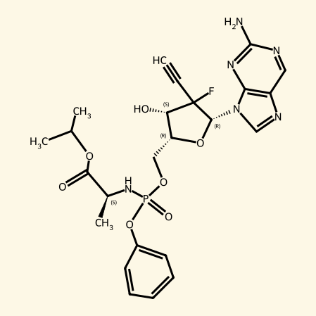 C#CC1(F)[C@@H](O)[C@@H](COP(=O)(N[C@@H](C)C(=O)OC(C)C)Oc2ccccc2)O[C@H]1n1cnc2cnc(N)nc21